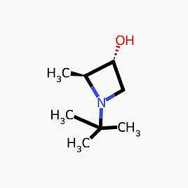 C[C@H]1[C@H](O)CN1C(C)(C)C